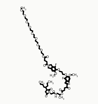 CCCCC(CCC)C1CC(=O)N(CC(=O)NC[C@H](C)OC(=O)CCC(=O)c2cc3c(F)c(OCCCOc4c(OC)cc5c(c4F)CN(C(=O)CCC(=O)OCCOCCOCCOCCOCCOCCOCCOCCOC)C5)c(OC)cc3s2)C1=O